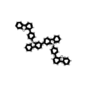 c1ccc2c(c1)oc1c(-c3ccc(-n4c5ccccc5c5ccc(-c6ccc7c8ccccc8n(-c8ccc(-c9cccc%10c9oc9ccccc9%10)cc8)c7c6)cc54)cc3)cccc12